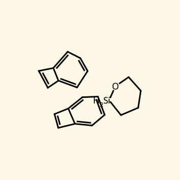 C1=Cc2ccccc21.C1=Cc2ccccc21.C1CC[SiH2]OC1